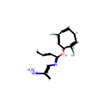 C/C=C/C(=N\C=C(/C)NN)OC1C=C(F)/C=C\C/C=C\1F